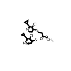 COC(=O)CCSc1ccnc(C2CC2)c1Cl.[Na+].[S-]c1ccnc(C2CC2)c1Cl